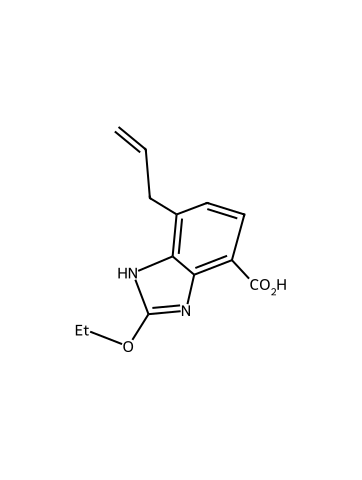 C=CCc1ccc(C(=O)O)c2nc(OCC)[nH]c12